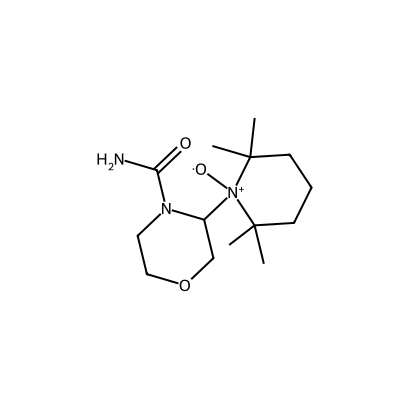 CC1(C)CCCC(C)(C)[N+]1([O])C1COCCN1C(N)=O